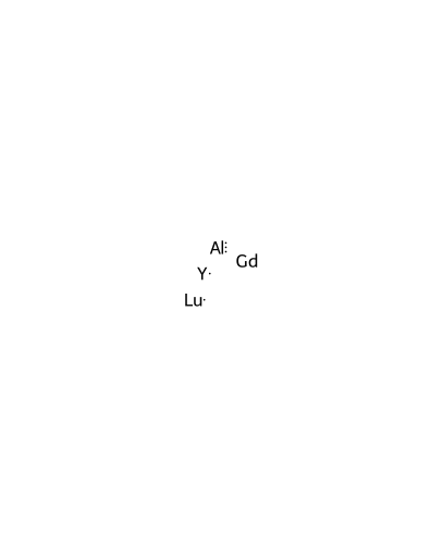 [Al].[Gd].[Lu].[Y]